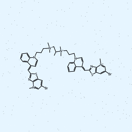 CC(C[N+](C)(C)CCCN1C=C/C(=C\c2nc3c(cc(Br)c[n+]3C)s2)c2ccccc21)[N+](C)(C)CCCN1C=C/C(=C\c2nc3c(cc(Br)c[n+]3C)s2)c2ccccc21